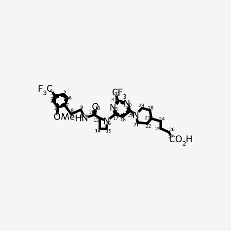 COc1cc(C(F)(F)F)ccc1CCNC(=O)C1CCN1c1cc(N2CCC(CCCC(=O)O)CC2)nc(C(F)(F)F)n1